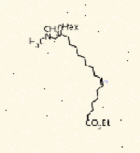 CCCCCCC(CCCCCCCC/C=C\CCCCCC(=O)OCC)CN(C)C